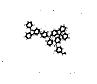 C=Cc1ccc(Oc2ccc(C3(c4ccccc4)c4ccccc4-c4ccc(N(c5ccccc5)c5ccc(-c6ccc7c(c6)c6ccccc6n7-c6ccccc6)cc5)cc43)cc2)cc1